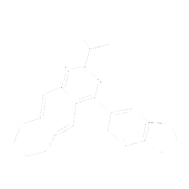 CC(C)c1nc(-c2ccc3c(c2)OCO3)c2cc3c(cc2n1)OCCO3